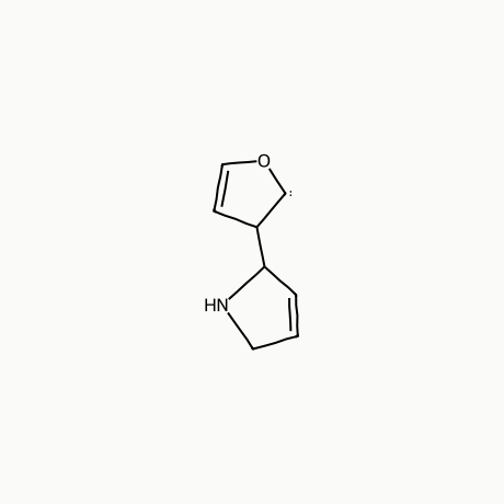 [C]1OC=CC1C1C=CCN1